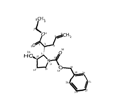 C=CCC(C(=O)OCC)[C@H]1[C@H](O)CCN1C(=O)OCc1ccccc1